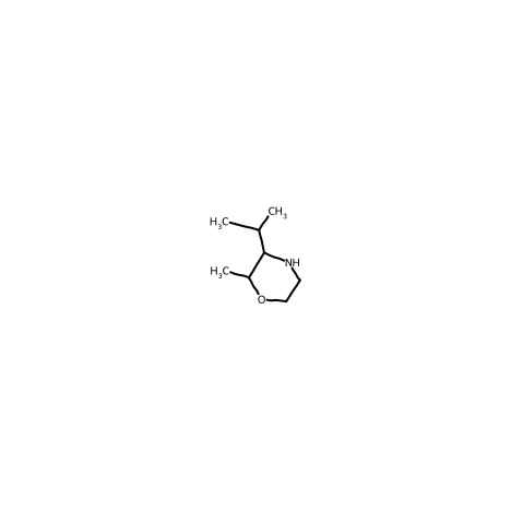 CC(C)C1NCCOC1C